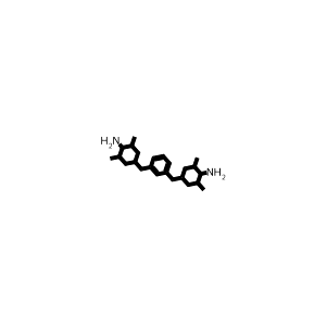 CC1CC(Cc2cccc(CC3CC(C)C(N)C(C)C3)c2)CC(C)C1N